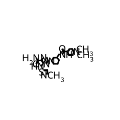 Cc1cc(Nc2nc(N3CCCC(CNC(=O)c4ccc(N(C)C)cc4)C3)cnc2C(N)=O)sn1